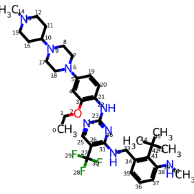 CCOc1cc(N2CCN(C3CCN(C)CC3)CC2)ccc1Nc1ncc(C(F)(F)F)c(NCc2cccc(NC)c2C(C)(C)C)n1